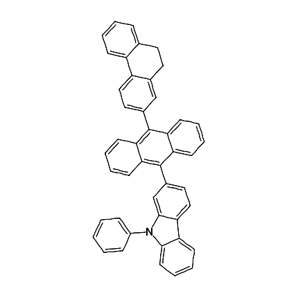 c1ccc(-n2c3ccccc3c3ccc(-c4c5ccccc5c(-c5ccc6c(c5)CCc5ccccc5-6)c5ccccc45)cc32)cc1